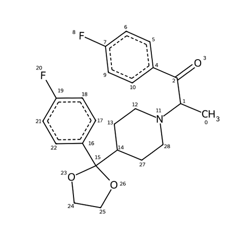 CC(C(=O)c1ccc(F)cc1)N1CCC(C2(c3ccc(F)cc3)OCCO2)CC1